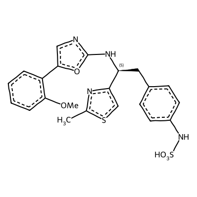 COc1ccccc1-c1cnc(N[C@@H](Cc2ccc(NS(=O)(=O)O)cc2)c2csc(C)n2)o1